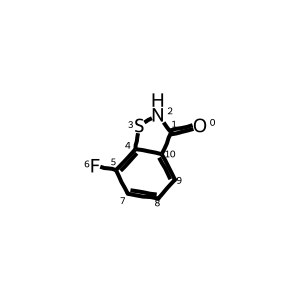 O=c1[nH]sc2c(F)cccc12